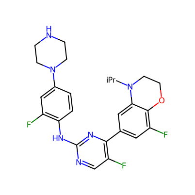 CC(C)N1CCOc2c(F)cc(-c3nc(Nc4ccc(N5CCNCC5)cc4F)ncc3F)cc21